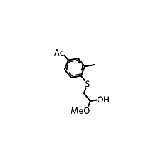 COC(O)CSc1ccc(C(C)=O)cc1C